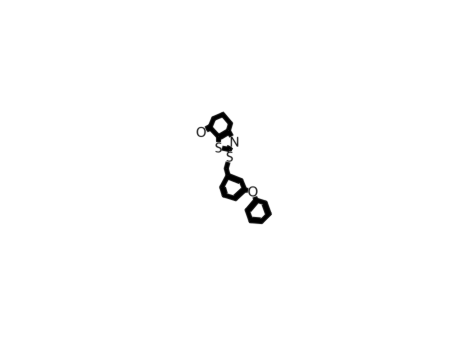 O=C1CCCc2nc(SCc3cccc(Oc4ccccc4)c3)sc21